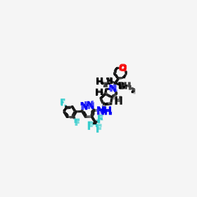 BC(B)(C1CCOCC1)N1C[C@H]2C[C@H](Nc3nnc(-c4cc(F)ccc4F)cc3C(F)(F)F)C[C@H]2C1